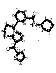 O=C(Nc1ccccc1)c1cccc(-c2ccnc3c(C(=O)c4cccs4)cnn23)c1